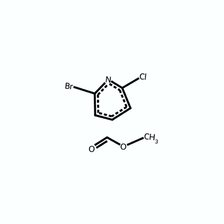 COC=O.Clc1cccc(Br)n1